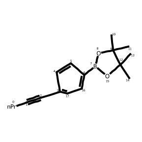 CCCC#Cc1ccc(B2OC(C)(C)C(C)(C)O2)cc1